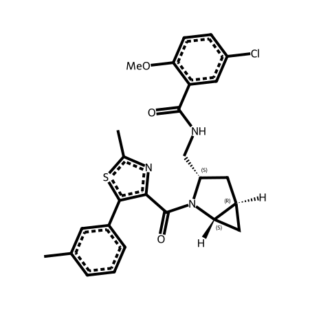 COc1ccc(Cl)cc1C(=O)NC[C@@H]1C[C@H]2C[C@@H]2N1C(=O)c1nc(C)sc1-c1cccc(C)c1